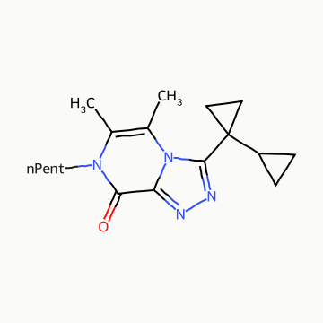 CCCCCn1c(C)c(C)n2c(C3(C4CC4)CC3)nnc2c1=O